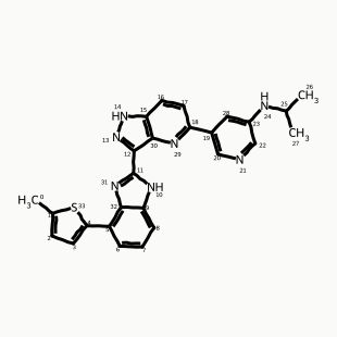 Cc1ccc(-c2cccc3[nH]c(-c4n[nH]c5ccc(-c6cncc(NC(C)C)c6)nc45)nc23)s1